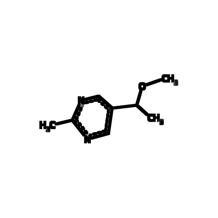 COC(C)c1cnc(C)nc1